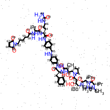 CC[C@H](C)[C@@H]([C@H](O)CC(=O)N1CCC[C@H]1[C@H](O)[C@@H](C)C(=O)N[C@@H](Cc1ccccc1)C(=O)Nc1ccc(NCc2ccc(NC(=O)[C@H](CCCNC(N)=O)NC(=O)C(NC(=O)CCCCCN3C(=O)C=CC3=O)C(C)C)cc2)cc1)N(C)C(=O)[C@@H](NC(=O)[C@H](C(C)C)N(C)C)C(C)C